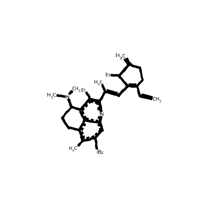 C=CC1=C(/C=C(\C)c2nc3cc(C(C)CC)c(C)c4c3c(c2CC)C(N(C)C)CC4)C(CC)C(=C)CC1